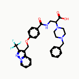 O=C(NCC(C(=O)O)N1CCN(Cc2ccccc2)CC1)c1ccc(OCc2c(C(F)(F)F)nn3ccccc23)cc1